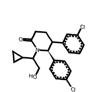 O=C1CCC(c2cccc(Cl)c2)[C@@H](c2ccc(Cl)cc2)N1C(CO)C1CC1